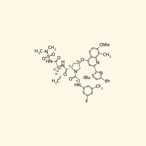 C=C[C@@H]1C[C@]1(NC(=O)[C@@H]1C[C@@H](Oc2cc(-c3nc(C(C)C)cs3)nc3c(C)c(OC)ccc23)CN1C(=O)[C@@H](Nc1cc(F)cc(C(F)(F)F)c1)C(C)(C)C)C(=O)NS(=O)(=O)N(C)C